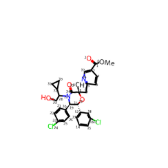 COC(=O)c1ccc(C[C@]2(C)O[C@H](c3cccc(Cl)c3)[C@@H](c3ccc(Cl)cc3)N(C(CO)C3CC3)C2=O)nc1